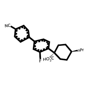 CCC[C@H]1CC[C@@](C(=O)O)(c2ccc(-c3ccc(C#N)cc3)cc2F)CC1